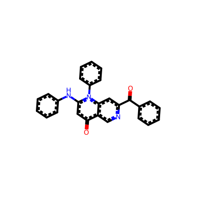 O=C(c1ccccc1)c1cc2c(cn1)c(=O)cc(Nc1ccccc1)n2-c1ccccc1